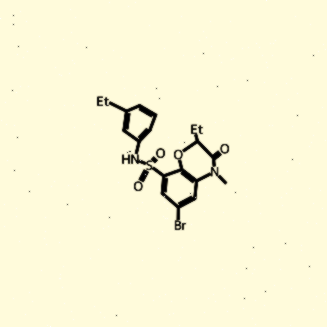 CCc1cccc(NS(=O)(=O)c2cc(Br)cc3c2OC(CC)C(=O)N3C)c1